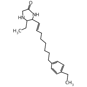 CCc1ccc(CCCCCCC=CC2NC(=O)CNC2CC)cc1